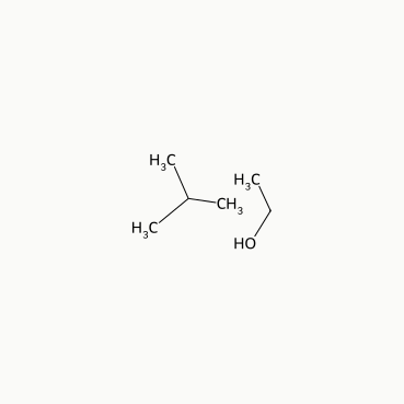 CC(C)C.CCO